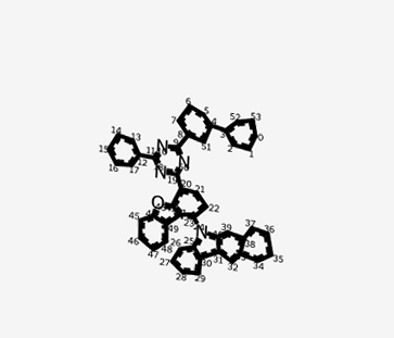 c1ccc(-c2cccc(-c3nc(-c4ccccc4)nc(-c4ccc(-n5c6ccccc6c6cc7ccccc7cc65)c5c4oc4ccccc45)n3)c2)cc1